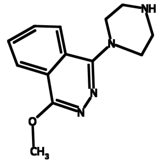 COc1nnc(N2CCNCC2)c2ccccc12